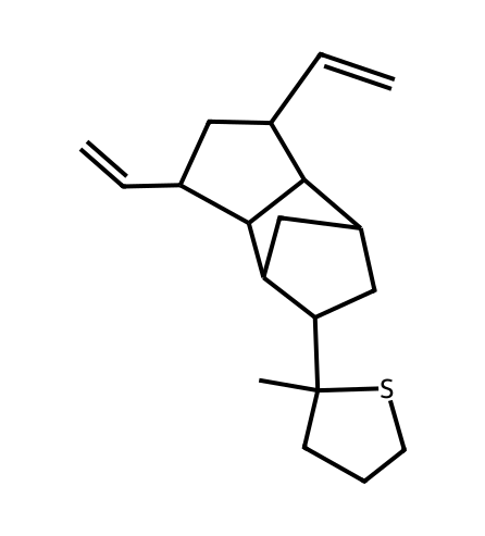 C=CC1CC(C=C)C2C3CC(CC3C3(C)CCCS3)C12